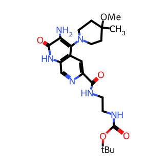 COC1(C)CCN(c2c(N)c(=O)[nH]c3cnc(C(=O)NCCNC(=O)OC(C)(C)C)cc23)CC1